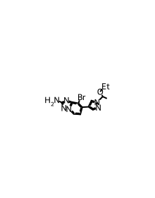 CCOC(C)n1cc(-c2ccn3nc(N)nc3c2Br)cn1